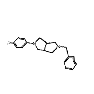 Fc1ccc(N2CC3CN(Cc4ccccc4)CC3C2)cc1